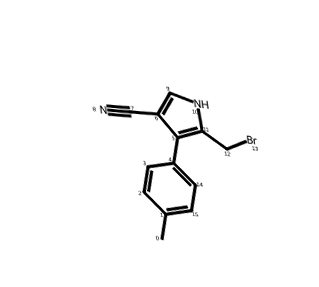 Cc1ccc(-c2c(C#N)c[nH]c2CBr)cc1